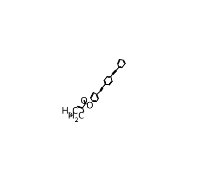 C=C/C(=C\C)C(=O)Oc1ccc(C#Cc2ccc(C#Cc3ccccc3)cc2)cc1